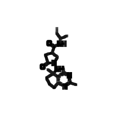 CCC(C)NC(=O)C1CC(=O)N(NC2(C)CCCc3nc(C)nc(C)c32)C1